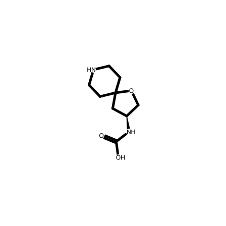 O=C(O)N[C@@H]1COC2(CCNCC2)C1